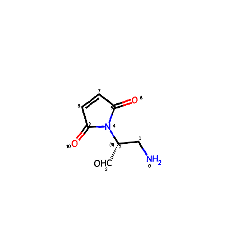 NC[C@H](C=O)N1C(=O)C=CC1=O